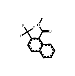 COC(=O)c1c(C(F)(F)F)ccc2ccccc12